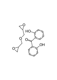 C(OCC1CO1)C1CO1.O=C(c1ccccc1O)c1ccccc1O